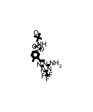 Cc1ccc(S(=O)(=O)NCC2(C)COC2)cc1-c1cn2c(N)nc(C(F)(F)F)nc2n1